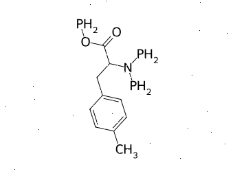 Cc1ccc(CC(C(=O)OP)N(P)P)cc1